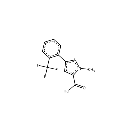 Cn1nc(-c2ccccc2C(F)(F)F)cc1C(=O)O